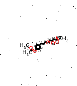 CCOC(C)Oc1ccc(C=CCOCC(=O)CC(=O)OC)cc1